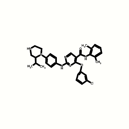 Cc1cccc(C)c1NC(=O)c1cnc(Nc2ccc(N3CCNCC3C(C)C)cc2)nc1Oc1cccc(Cl)c1